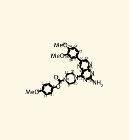 COc1ccc(OC(=O)N2CCN(c3nc(N)nc4ncc(-c5ccc(OC)c(OC)c5)nc34)CC2)cc1